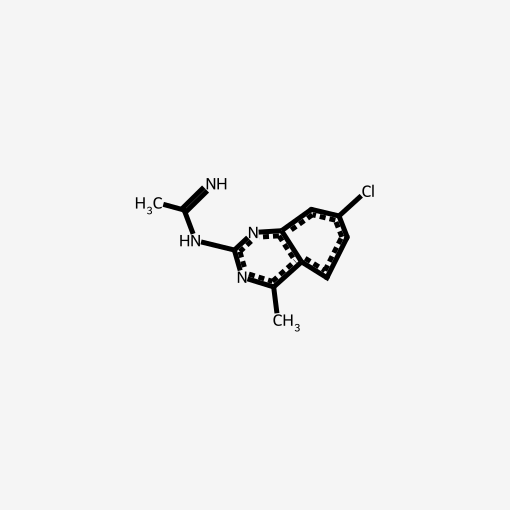 CC(=N)Nc1nc(C)c2ccc(Cl)cc2n1